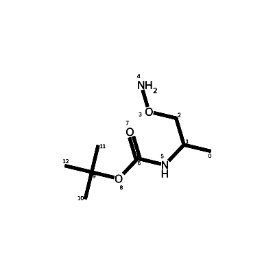 CC(CON)NC(=O)OC(C)(C)C